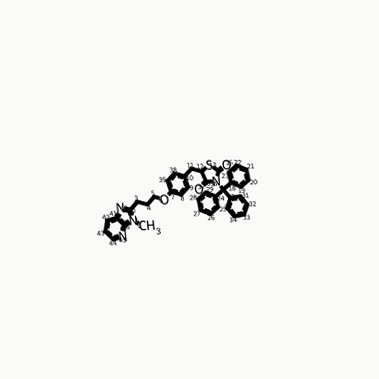 Cn1c(CCCOc2ccc(CC3SC(=O)N(C(c4ccccc4)(c4ccccc4)c4ccccc4)C3=O)cc2)nc2cccnc21